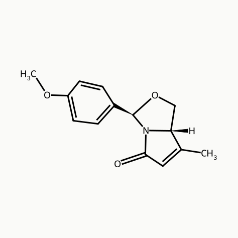 COc1ccc([C@H]2OC[C@@H]3C(C)=CC(=O)N32)cc1